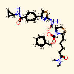 CN(C)C(=O)CCCCC1SC[C@@H](C(=O)Nc2nc(-c3ccc(C(=O)NC4CC4)cc3)cs2)N1C(=O)OCc1ccccc1